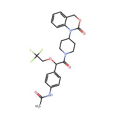 CC(=O)Nc1ccc(C(OCC(F)(F)F)C(=O)N2CCC(N3C(=O)OCc4ccccc43)CC2)cc1